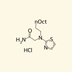 CCCCCCCCCCN(CC(N)=O)c1nccs1.Cl